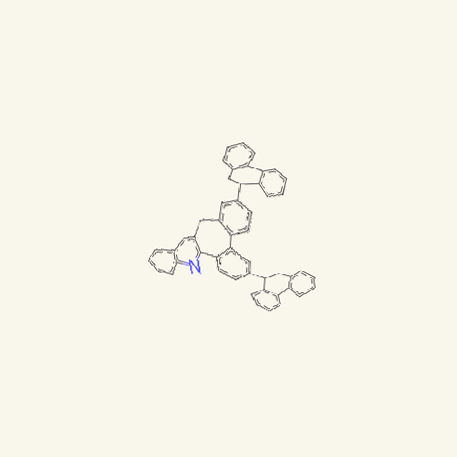 c1ccc2c(c1)CC(c1ccc3c(c1)Cc1cc4ccccc4nc1-c1ccc(C4Cc5ccccc5-c5ccccc54)cc1-3)c1ccccc1-2